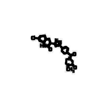 CN1CCN(C(=O)C2=CC=C(n3cc(-c4cc5ccc(Cl)cc5[nH]c4=O)nn3)CC2)CC1=O